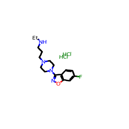 CCNCCCN1CCN(c2noc3cc(F)ccc23)CC1.Cl.Cl